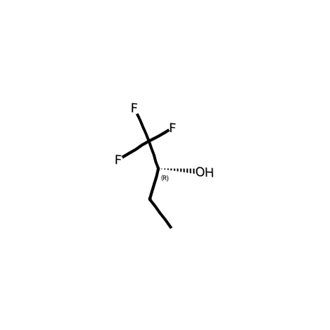 CC[C@@H](O)C(F)(F)F